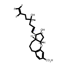 C[C@@](O)(C/C=C/[C@@H]1[C@H]2CCCc3ccc(C(=O)O)cc3O[C@H]2C[C@H]1O)CCC(F)=C(F)F